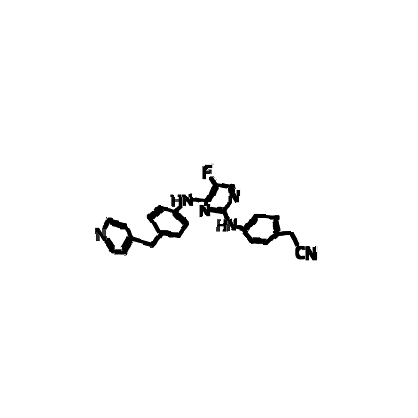 N#CCc1ccc(Nc2ncc(F)c(Nc3ccc(Cc4ccncc4)cc3)n2)cc1